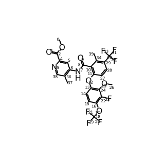 COC(=O)c1cc(NC(=O)c2c(Oc3ccc(OC(F)(F)F)c(F)c3OC)ccc(C(F)(F)F)c2C)c(C)cn1